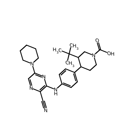 CC(C)(C)C1CN(C(=O)O)CCC1c1ccc(Nc2nc(N3CCCCC3)cnc2C#N)cc1